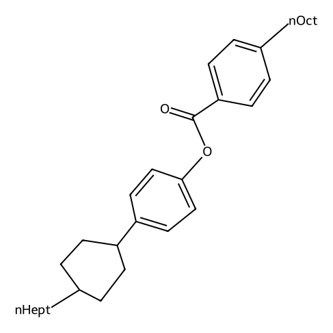 CCCCCCCCc1ccc(C(=O)Oc2ccc(C3CCC(CCCCCCC)CC3)cc2)cc1